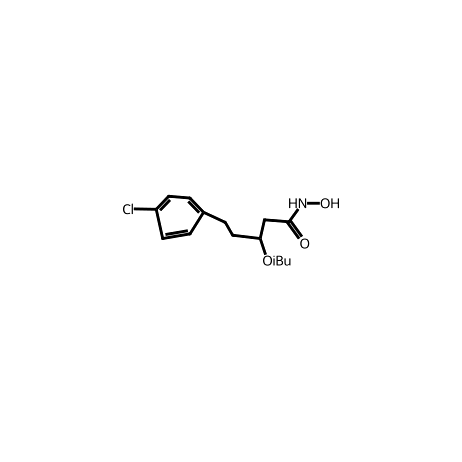 CC(C)COC(CCc1ccc(Cl)cc1)CC(=O)NO